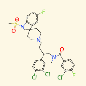 CN(CC(CCN1CCC2(CC1)CN(S(C)(=O)=O)c1ccc(F)cc12)c1ccc(Cl)c(Cl)c1)C(=O)c1ccc(F)c(Cl)c1